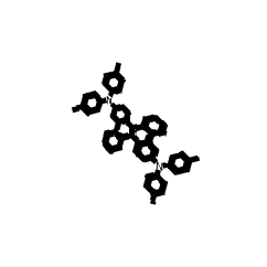 Cc1ccc(N(c2ccc(C)cc2)c2ccc3c(c2)c2ccccc2c2c4ccc(N(c5ccc(C)cc5)c5ccc(C)cc5)cc4c4ccccc4c32)cc1